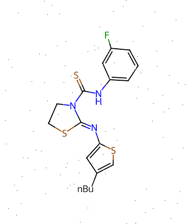 CCCCc1csc(N=C2SCCN2C(=S)Nc2cccc(F)c2)c1